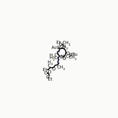 CCOCC(=O)OC(CC)C(C)C1OC1CC(C)/C=C/C=C(\C)C1OC(=O)CC(O[Si](C)(C)C(C)(C)C)CCC(C)(OC(C)OCC)C(OC(C)=O)/C=C/C1C